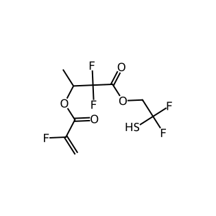 C=C(F)C(=O)OC(C)C(F)(F)C(=O)OCC(F)(F)S